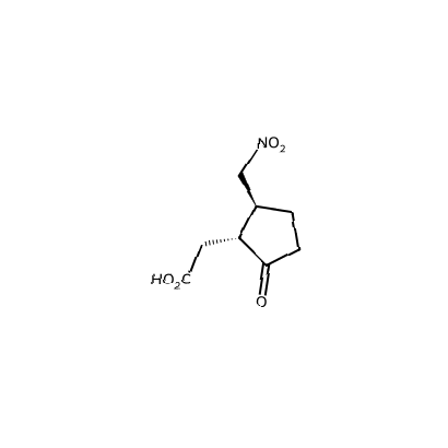 O=C(O)C[C@H]1C(=O)CC[C@@H]1C[N+](=O)[O-]